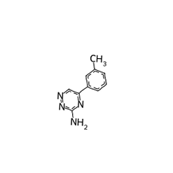 Cc1cccc(-c2cnnc(N)n2)c1